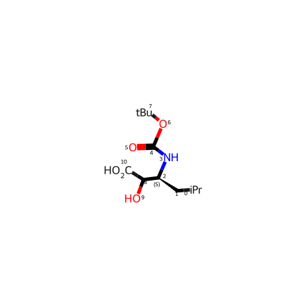 CC(C)C[C@H](NC(=O)OC(C)(C)C)C(O)C(=O)O